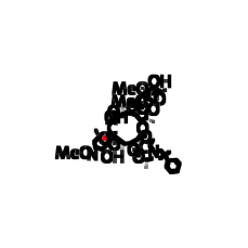 CO/N=C1\C[C@@H](C)O[C@@H](O[C@@H]2[C@@H](C)[C@H](O[C@H]3CC(C)N(CC(C)(C)c4ccccc4)C[C@H](C)O3)[C@@H](C)C(=O)O[C@H]([C@@H](C)CO[C@@H]3O[C@H](C)[C@@H](O)[C@@H](OC)[C@H]3OC)[C@H](C)[C@@H](OC(=O)CC(C)C)[C@@H](C)C(=O)[C@@](C)(O)C[C@@H]2C)[C@@H]1O